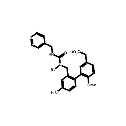 CCN(Cc1cc(C)ccc1-c1cc(CC(=O)O)ccc1OC)C(=O)NCc1ccncc1